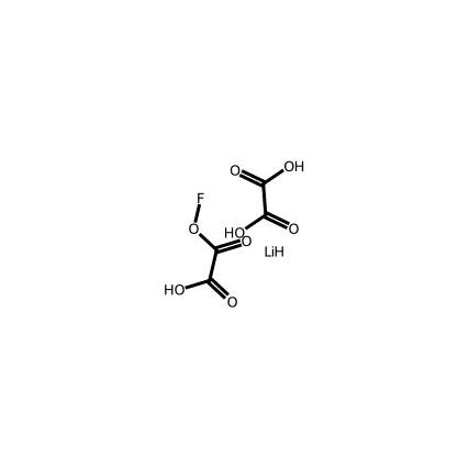 O=C(O)C(=O)O.O=C(O)C(=O)OF.[LiH]